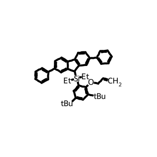 C=CCOc1c(C(C)(C)C)cc(C(C)(C)C)cc1[Si](CC)(CC)C1c2cc(-c3ccccc3)ccc2-c2ccc(-c3ccccc3)cc21